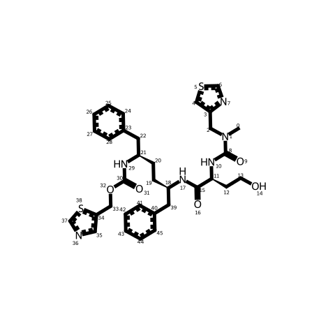 CN(Cc1cscn1)C(=O)N[C@@H](CCO)C(=O)N[C@H](CC[C@H](Cc1ccccc1)NC(=O)OCc1cncs1)Cc1ccccc1